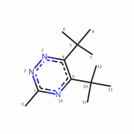 Cc1nnc(C(C)(C)C)c(C(C)(C)C)n1